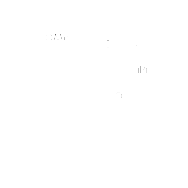 COc1cc2ccccc2c(OC(C)C)c1OC(C)C